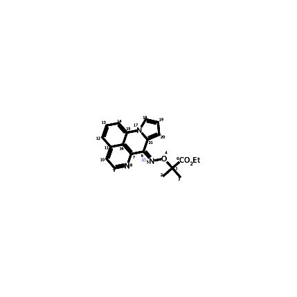 CCOC(=O)C(C)(C)O/N=c1/c2nccc3cccc(c32)n2cccc12